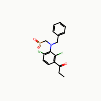 CCC(=O)c1ccc(Br)c(N(Cc2ccccc2)C[SH](=O)=O)c1Cl